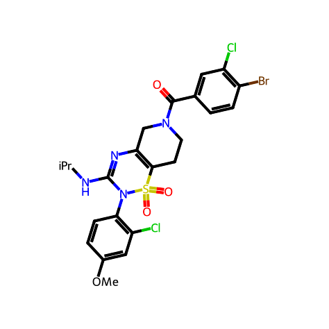 COc1ccc(N2C(NC(C)C)=NC3=C(CCN(C(=O)c4ccc(Br)c(Cl)c4)C3)S2(=O)=O)c(Cl)c1